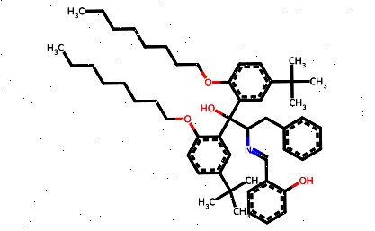 CCCCCCCCOc1ccc(C(C)(C)C)cc1C(O)(c1cc(C(C)(C)C)ccc1OCCCCCCCC)C(Cc1ccccc1)N=Cc1ccccc1O